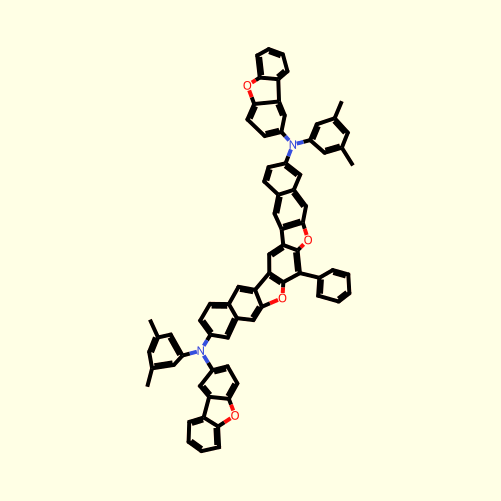 Cc1cc(C)cc(N(c2ccc3cc4c(cc3c2)oc2c(-c3ccccc3)c3oc5cc6cc(N(c7cc(C)cc(C)c7)c7ccc8oc9ccccc9c8c7)ccc6cc5c3cc24)c2ccc3oc4ccccc4c3c2)c1